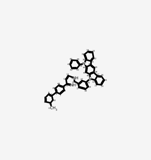 CC1C=CC=C(c2ccc(C(=N)/C=C\NCc3cccc(-n4c5ccccc5c5cc6c7ccccc7n(-c7ccccc7)c6cc54)c3)cc2)C1